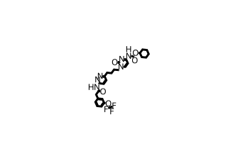 O=C(Cc1cccc(OC(F)(F)F)c1)Nc1ccc(CCCCn2ccc(NC(=O)OC3CCCCC3)nc2=O)nn1